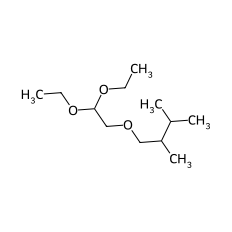 CCOC(COCC(C)C(C)C)OCC